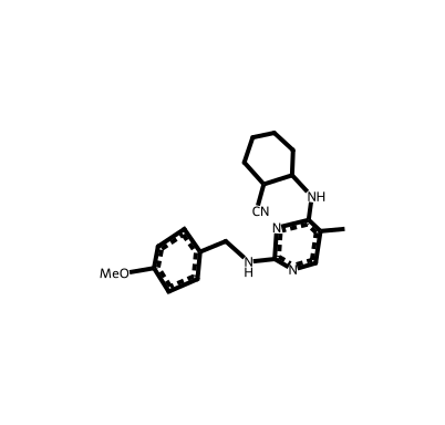 COc1ccc(CNc2ncc(C)c(NC3CCCCC3C#N)n2)cc1